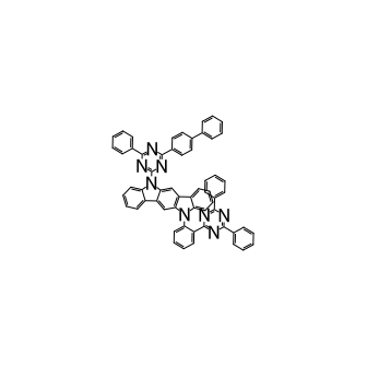 c1ccc(-c2ccc(-c3nc(-c4ccccc4)nc(-n4c5ccccc5c5cc6c(cc54)c4ccccc4n6-c4ccccc4-c4nc(-c5ccccc5)nc(-c5ccccc5)n4)n3)cc2)cc1